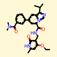 CCOc1cc(C)[nH]c(=O)c1CNC(=O)c1cc(-c2cccc(C(=O)N(C)C)c2)cc2c(C(C)C)ncn12